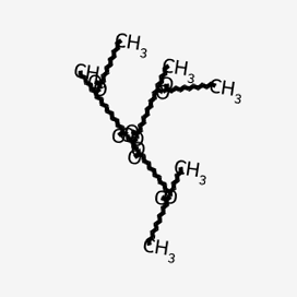 CCCCCCCCCCCC(=O)OC(CCCCCC)CCCCCCCCCCC(=O)OCC(COC(=O)CCCCCCCCCCC(CCCCCC)OC(=O)CCCCCCCCCCC)OC(=O)CCCCCCCCCCC(CCCCCC)OC(=O)CCCCCCCCCCC